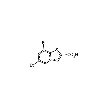 CCc1cc(Br)c2sc(C(=O)O)cc2c1